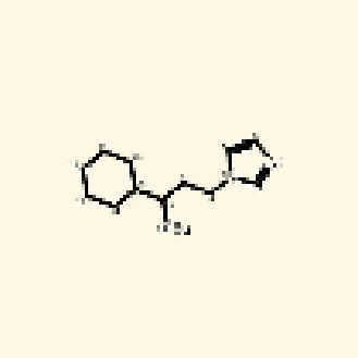 CCCCC(CCn1ccnc1)C1CCCCC1